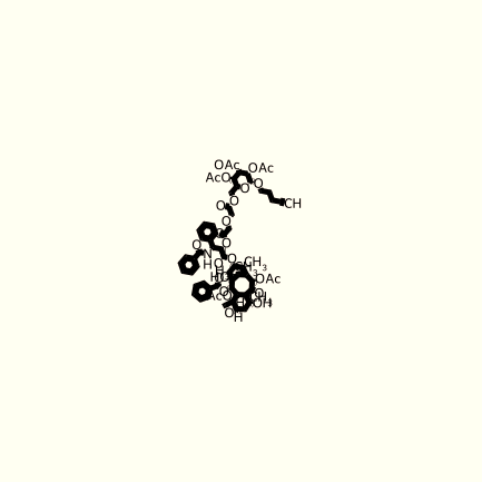 C#CCCCO[C@@H]1OC(COC(=O)COCC(=O)O[C@@H](C(=O)O[C@H]2C[C@@]3(O)[C@@H](OC(=O)c4ccccc4)[C@@H]4[C@]5(OC(C)=O)CO[C@@H]5C[C@H](O)[C@@]4(C)C(=O)[C@H](OC(C)=O)C(=C2C)C3(C)C)C(NC(=O)c2ccccc2)c2ccccc2)[C@@H](OC(C)=O)C(OC(C)=O)C1OC(C)=O